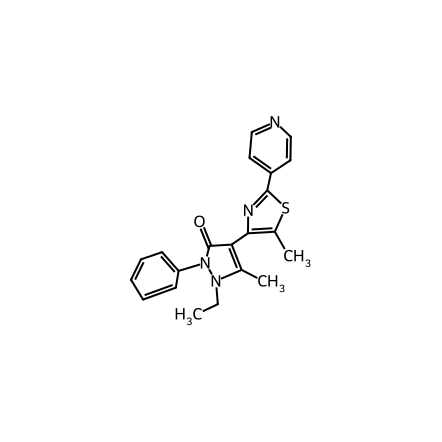 CCn1c(C)c(-c2nc(-c3ccncc3)sc2C)c(=O)n1-c1ccccc1